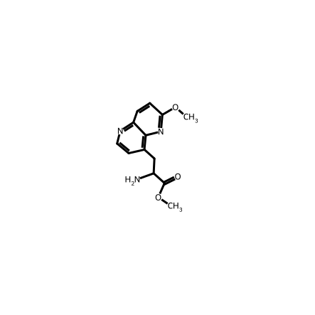 COC(=O)C(N)Cc1ccnc2ccc(OC)nc12